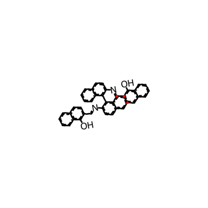 Oc1c(/C=N/c2ccc3ccccc3c2-c2c(/N=C/c3ccc4ccccc4c3O)ccc3ccccc23)ccc2ccccc12